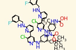 C[C@@H]1C[C@H](Nc2cc(-c3cccc(NCc4cccc(F)c4)n3)c(Cl)cn2)CC[C@H]1N(C(=O)OC(C)(C)C)[C@@]1(Nc2cc(-c3cccc(NCc4cccc(F)c4)n3)c(Cl)cn2)CC[C@H](NC(=O)O)[C@@H](C)C1